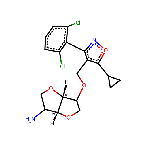 NC1CO[C@@H]2C(OCc3c(-c4c(Cl)cccc4Cl)noc3C3CC3)CO[C@H]12